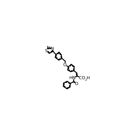 O=C(O)C(=Cc1ccc(OCc2ccc(-c3csnn3)cc2)cc1)NC(=O)c1ccccc1